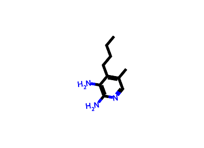 CCCCc1c(C)cnc(N)c1N